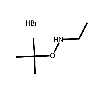 Br.CCNOC(C)(C)C